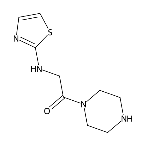 O=C(CNc1nccs1)N1CCNCC1